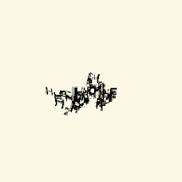 CNc1nc(Nc2ccc(C(=O)N3CC(F)(F)OC(F)(F)C3)cc2OC)ncc1N